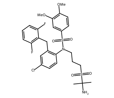 COc1ccc(S(=O)(=O)N(CCCS(=O)(=O)C(C)(C)N)c2ccc(Cl)cc2Cc2c(F)cccc2F)cc1OC